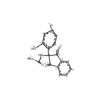 CCCCC(=O)NC1(c2ccc(C(C)C)cc2O)C(=O)c2ccccc2C1=O